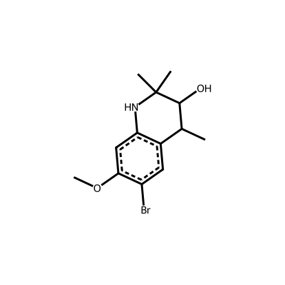 COc1cc2c(cc1Br)C(C)C(O)C(C)(C)N2